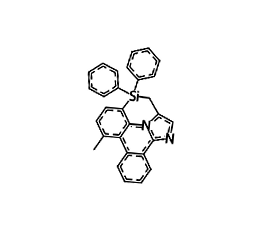 Cc1ccc2c3c1c1ccccc1c1ncc(n13)C[Si]2(c1ccccc1)c1ccccc1